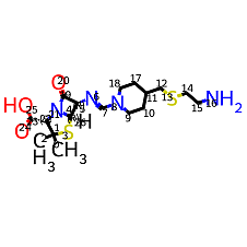 CC1(C)S[C@@H]2[C@H](N=CN3CCC(CSCCN)CC3)C(=O)N2[C@H]1C(=O)O